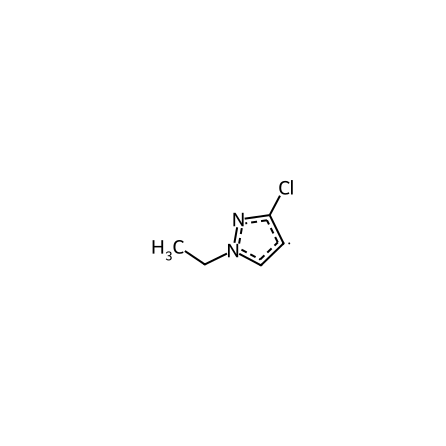 CCn1c[c]c(Cl)n1